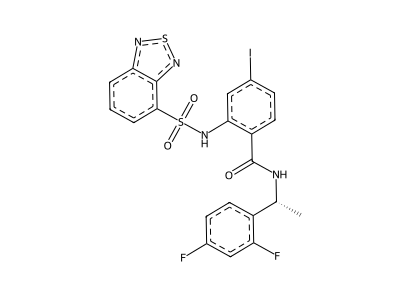 C[C@@H](NC(=O)c1ccc(I)cc1NS(=O)(=O)c1cccc2nsnc12)c1ccc(F)cc1F